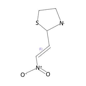 O=[N+]([O-])/C=C/C1[N]CCS1